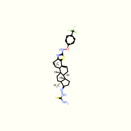 C[C@]12CCc3nc(NOc4ccc(C(F)(F)F)cc4)sc3C1=CC[C@@H]1[C@@H]2CC[C@]2(C)/C(=N/NC(N)=S)CC[C@@H]12